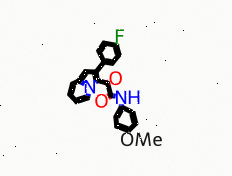 COc1ccc(NC(=O)C(=O)c2c(-c3ccc(F)cc3)cc3ccccn23)cc1